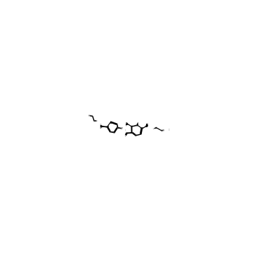 CC1C(C(=O)OCCO)=CC=C2C(=O)N(c3ccc(C(=O)OCCO)cc3)C(=O)C21